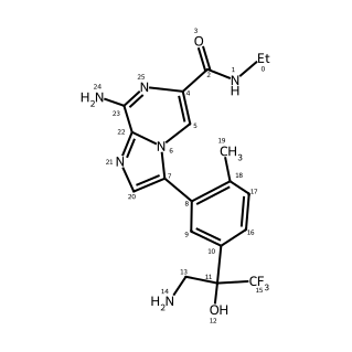 CCNC(=O)c1cn2c(-c3cc(C(O)(CN)C(F)(F)F)ccc3C)cnc2c(N)n1